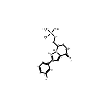 CC(C)(C)[Si](C)(C)OCC1CNC(=O)c2cc(-c3cccc(F)c3)nn21